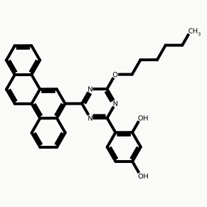 CCCCCCOc1nc(-c2ccc(O)cc2O)nc(-c2cc3c4ccccc4ccc3c3ccccc23)n1